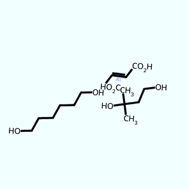 CC(C)(O)CCO.O=C(O)/C=C/C(=O)O.OCCCCCCO